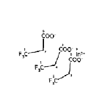 O=C([O-])CC(F)(F)F.O=C([O-])CC(F)(F)F.O=C([O-])CC(F)(F)F.[In+3]